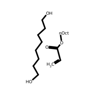 C=CC(=O)OCCCCCCCC.OCCCCCCCCO